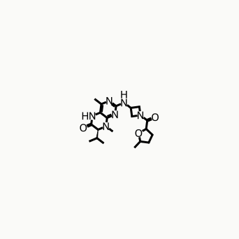 Cc1nc(NC2CN(C(=O)C3CCC(C)O3)C2)nc2c1NC(=O)[C@H](C(C)C)N2C